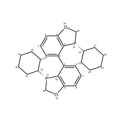 c1cc2c(c(-c3cccc4c3[P@@](C3CCCCC3)CO4)c1)[P@@](C1CCCCC1)CO2